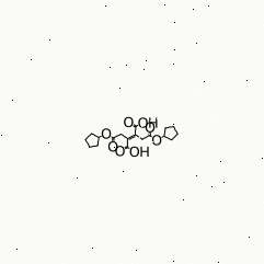 O=C(CC(C(=O)O)=C(CC(=O)OC1CCCC1)C(=O)O)OC1CCCC1